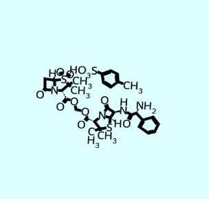 CC1(C)S[C@@H]2[C@H](NC(=O)[C@H](N)c3ccccc3)C(=O)N2[C@H]1C(=O)OCOC(=O)[C@@H]1N2C(=O)C[C@@H]2S(=O)(=O)C1(C)C.Cc1ccc(S(=O)(=O)O)cc1